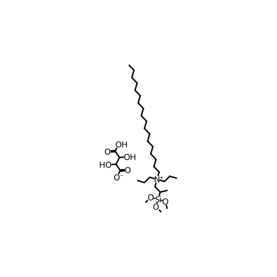 CCCCCCCCCCCCCCCCCC[N+](CCC)(CCC)CC(C)[Si](OC)(OC)OC.O=C([O-])C(O)C(O)C(=O)O